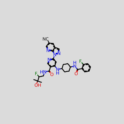 CC(C)(O)C(F)CNC(=O)c1cnc(-n2ncc3cc(C#N)cnc32)cc1NC1CCC(NC(=O)c2ccccc2F)CC1